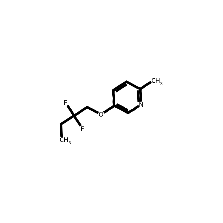 CCC(F)(F)COc1ccc(C)nc1